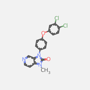 Cn1c(=O)n(-c2ccc(Oc3ccc(Cl)c(Cl)c3)cc2)c2cnccc21